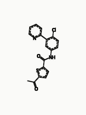 CC(=O)c1ccc(C(=O)Nc2ccc(Cl)c(-c3ccccn3)c2)s1